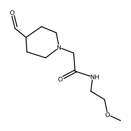 COCCNC(=O)CN1CCC(C=O)CC1